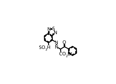 CCOC(=O)C(/N=N/c1c(S(=O)(=O)O)ccc2nsnc12)C(=O)c1ccccc1